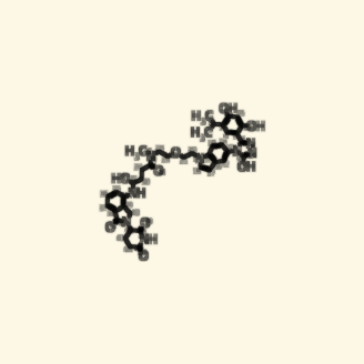 CC(C)c1cc(-c2nnc(O)n2-c2ccc3c(ccn3CCOCCN(C)C(=O)CCC(O)Nc3cccc4c3CN(C3CCC(=O)NC3=O)C4=O)c2)c(O)cc1O